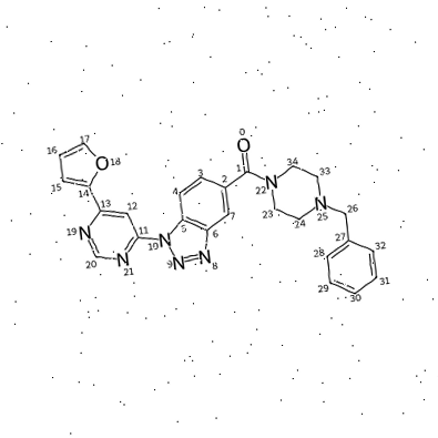 O=C(c1ccc2c(c1)nnn2-c1cc(-c2ccco2)ncn1)N1CCN(Cc2ccccc2)CC1